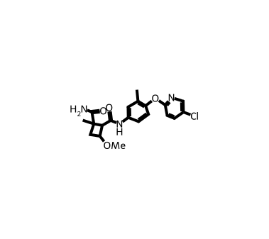 COC1CC(C)(C(N)=O)C1C(=O)Nc1ccc(Oc2ccc(Cl)cn2)c(C)c1